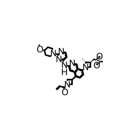 C=CC(=O)N1CC(c2ccc(N3C[C@H](CS(C)(=O)=O)[C@H]3C)c3cnc(Nc4ccnc(N5CCC(OC)CC5)n4)cc23)C1